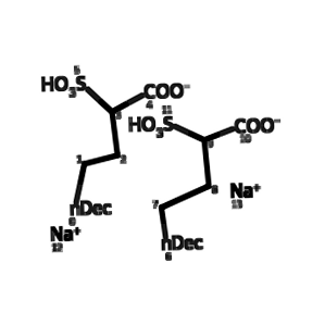 CCCCCCCCCCCCC(C(=O)[O-])S(=O)(=O)O.CCCCCCCCCCCCC(C(=O)[O-])S(=O)(=O)O.[Na+].[Na+]